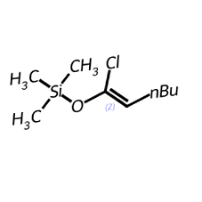 CCCC/C=C(\Cl)O[Si](C)(C)C